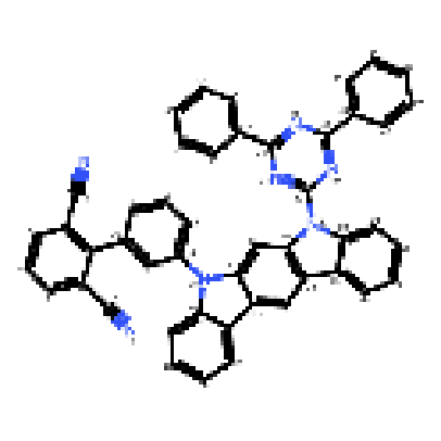 N#Cc1cccc(C#N)c1-c1cccc(-n2c3ccccc3c3cc4c5ccccc5n(-c5nc(-c6ccccc6)nc(-c6ccccc6)n5)c4cc32)c1